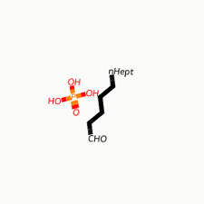 CCCCCCCCCCCC=O.O=P(O)(O)O